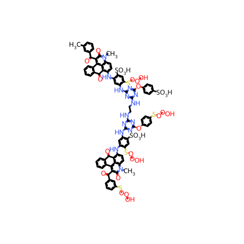 Cc1cccc(C(=O)c2c3c4c(c(Nc5cc(Nc6nc(NCCNc7nc(Nc8cc(Nc9ccc%10c%11c9C(=O)c9ccccc9-c%11c(C(=O)c9cccc(SOOO)c9)c(=O)n%10C)c(SOOO)cc8S(=O)(=O)O)nc(Oc8ccc(SOOO)cc8)n7)nc(Oc7ccc(S(=O)(=O)O)cc7)n6)c(SOOO)cc5S(=O)(=O)O)ccc4n(C)c2=O)C(=O)c2ccccc2-3)c1